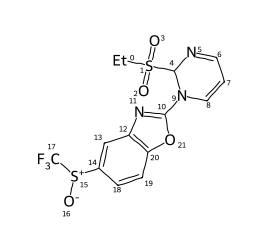 CCS(=O)(=O)C1N=CC=CN1c1nc2cc([S+]([O-])C(F)(F)F)ccc2o1